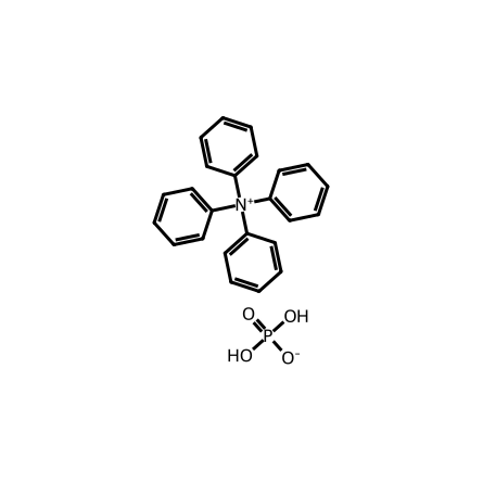 O=P([O-])(O)O.c1ccc([N+](c2ccccc2)(c2ccccc2)c2ccccc2)cc1